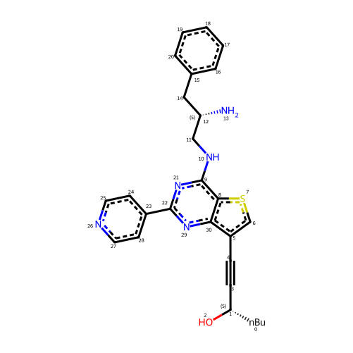 CCCC[C@H](O)C#Cc1csc2c(NC[C@@H](N)Cc3ccccc3)nc(-c3ccncc3)nc12